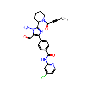 CC#CC(=O)N1CCCCC1c1nc(-c2ccc(C(=O)Nc3cc(Cl)ccn3)cc2)c(C=O)n1N